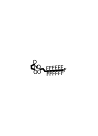 O=C(CCC(F)(F)C(F)(F)C(F)(F)C(F)(F)C(F)(F)C(F)(F)F)ON1C(=O)CCC1=O